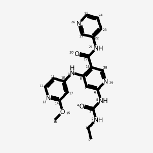 CCNC(=O)Nc1cc(Nc2ccnc(OC)c2)c(C(=O)Nc2cccnc2)cn1